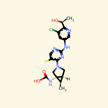 C[C@H](O)c1ncc(Nc2ncc(F)c(N3C[C@H]4[C@@H](C)[C@@]4(NC(=O)O)C3)n2)cc1Cl